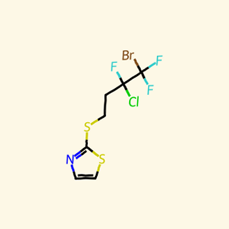 FC(F)(Br)C(F)(Cl)CCSc1nccs1